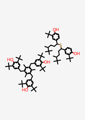 CC(CCC(SC(CCC(C)C(C)(C)C)c1ccc(O)c(C(C)(C)C)c1)c1ccc(O)c(C(C)(C)C)c1)C(C)(C)C.Cc1c(Cc2cc(C(C)(C)C)c(O)c(C(C)(C)C)c2)c(C)c(Cc2cc(C(C)(C)C)c(O)c(C(C)(C)C)c2)c(C)c1Cc1cc(C(C)(C)C)c(O)c(C(C)(C)C)c1